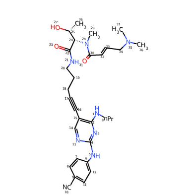 CCCNc1nc(Nc2ccc(C#N)cc2)ncc1C#CCCCNC(=O)[C@H]([C@@H](C)O)N(C)C(=O)/C=C/CN(C)C